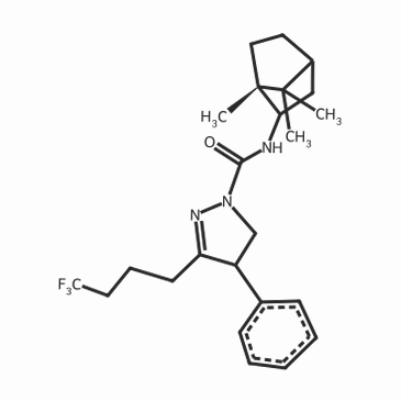 CC1(C)C2CC[C@@]1(C)C(NC(=O)N1CC(c3ccccc3)C(CCCC(F)(F)F)=N1)C2